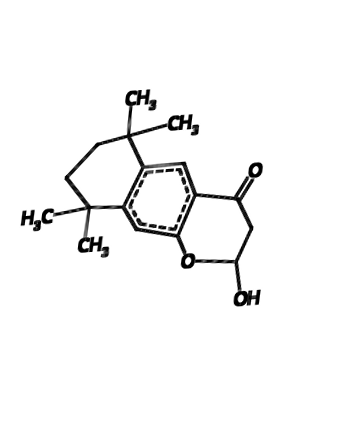 CC1(C)CCC(C)(C)c2cc3c(cc21)OC(O)CC3=O